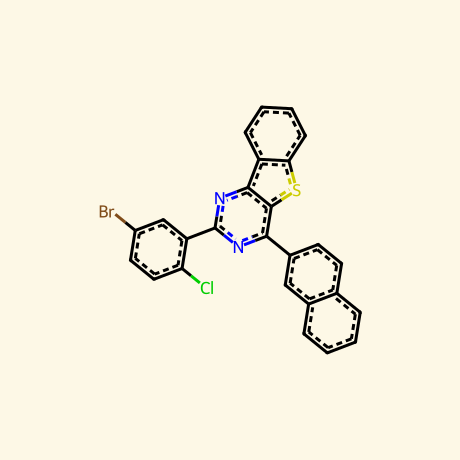 Clc1ccc(Br)cc1-c1nc(-c2ccc3ccccc3c2)c2sc3ccccc3c2n1